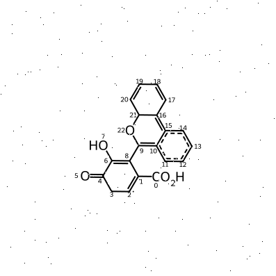 O=C(O)C1=[C]CC(=O)C(O)=C1C1=c2ccccc2=C2C=CC=CC2O1